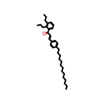 CCCCCCCCCCCCCCc1ccc(C=CC(=O)c2cccc(CCC)c2CCC)cc1